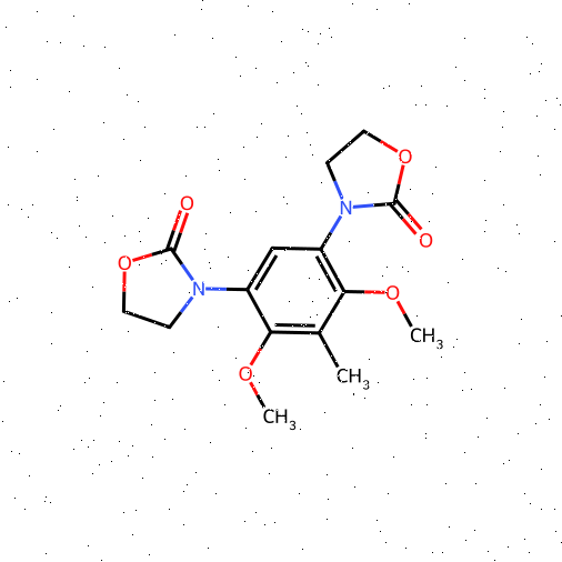 COc1c(N2CCOC2=O)cc(N2CCOC2=O)c(OC)c1C